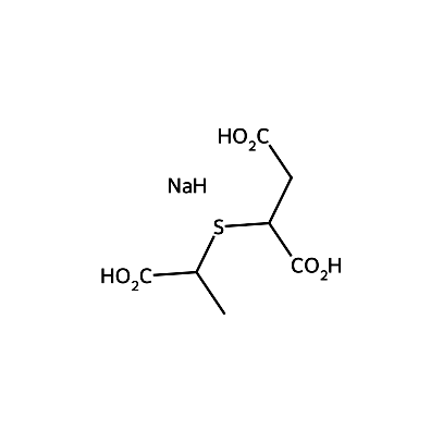 CC(SC(CC(=O)O)C(=O)O)C(=O)O.[NaH]